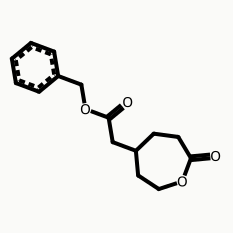 O=C1CCC(CC(=O)OCc2ccccc2)CCO1